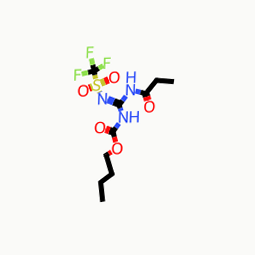 CCCCOC(=O)NC(=NS(=O)(=O)C(F)(F)F)NC(=O)CC